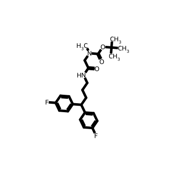 CN(CC(=O)NCCCC(c1ccc(F)cc1)c1ccc(F)cc1)C(=O)OC(C)(C)C